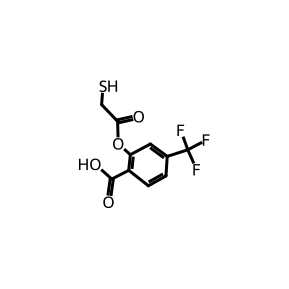 O=C(CS)Oc1cc(C(F)(F)F)ccc1C(=O)O